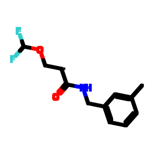 Cc1cccc(CNC(=O)[CH]COC(F)F)c1